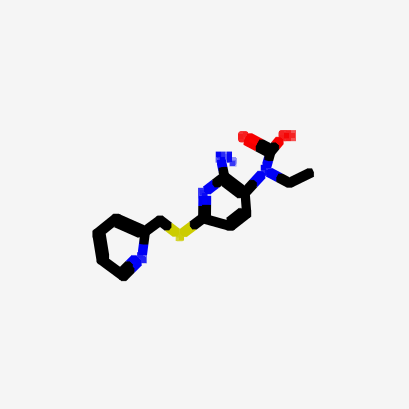 CCN(C(=O)O)c1ccc(SCc2ccccn2)nc1N